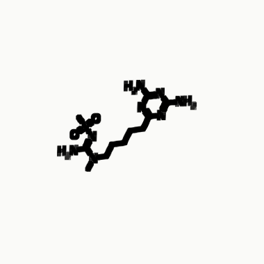 CN(CCCCCc1nc(N)nc(N)n1)C(N)=NS(C)(=O)=O